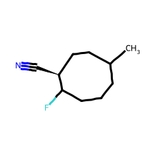 CC1CCCC(F)[C@@H](C#N)CC1